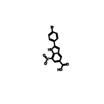 O=C(O)c1cc([N+](=O)[O-])c2[nH]c(-c3ccc(Br)cc3)cc2c1